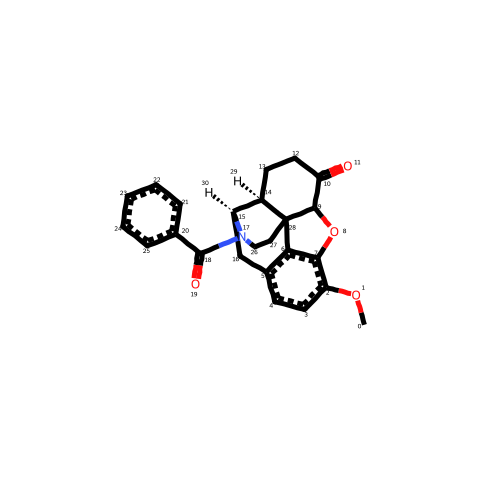 COc1ccc2c3c1OC1C(=O)CC[C@@H]4[C@H](C2)N(C(=O)c2ccccc2)CCC314